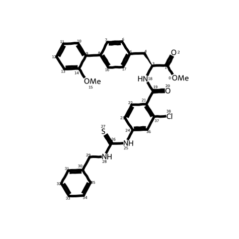 COC(=O)[C@H](Cc1ccc(-c2ccccc2OC)cc1)NC(=O)c1ccc(NC(=S)NCc2ccccc2)cc1Cl